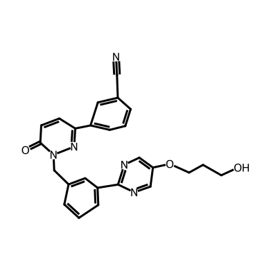 N#Cc1cccc(-c2ccc(=O)n(Cc3cccc(-c4ncc(OCCCO)cn4)c3)n2)c1